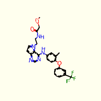 COCC(=O)NCCn1ccc2ncnc(Nc3ccc(Oc4cccc(C(F)(F)F)c4)c(C)c3)c21